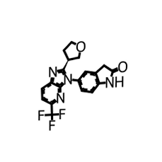 O=C1Cc2cc(-n3c([C@H]4CCOC4)nc4ccc(C(F)(F)F)nc43)ccc2N1